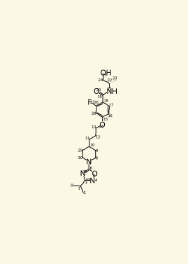 CC(C)c1noc(N2CCC(CCCOc3ccc(C(=O)N[C@@H](C)CO)c(F)c3)CC2)n1